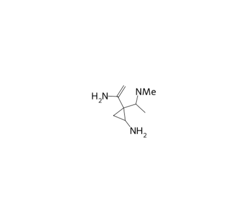 C=C(N)C1(C(C)NC)CC1N